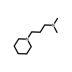 CN(C)CCCN1CC[CH]CC1